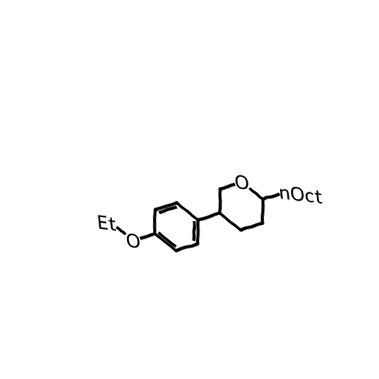 CCCCCCCCC1CCC(c2ccc(OCC)cc2)CO1